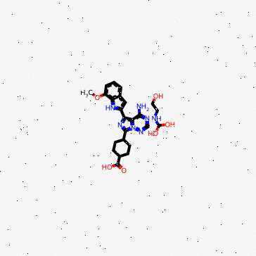 COc1cccc2cc(-c3nc(C4CCC(C(=O)O)CC4)n4ncnc(N)c34)[nH]c12.OCCNC(O)O